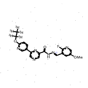 [2H]C([2H])([2H])C([2H])([2H])Oc1ccc(-c2cncc(C(=O)N/N=C/c3cc(OC)cnc3F)n2)cn1